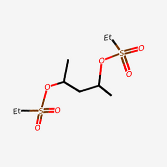 CCS(=O)(=O)OC(C)CC(C)OS(=O)(=O)CC